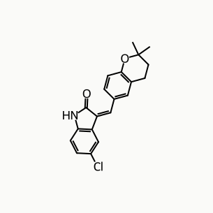 CC1(C)CCc2cc(C=C3C(=O)Nc4ccc(Cl)cc43)ccc2O1